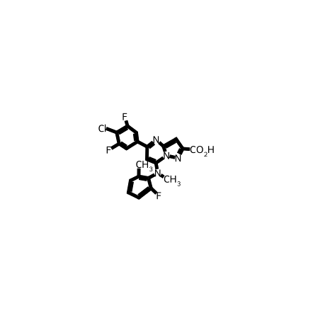 Cc1cccc(F)c1N(C)c1cc(-c2cc(F)c(Cl)c(F)c2)nc2cc(C(=O)O)nn12